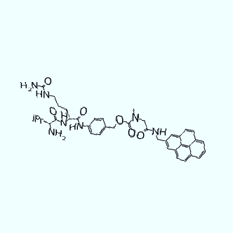 CC(C)[C@H](N)C(=O)N[C@@H](CCCNC(N)=O)C(=O)Nc1ccc(COC(=O)N(C)CC(=O)NCc2cc3ccc4cccc5ccc(c2)c3c45)cc1